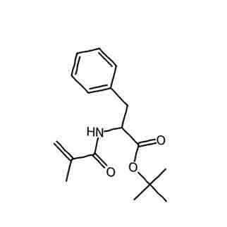 C=C(C)C(=O)NC(Cc1ccccc1)C(=O)OC(C)(C)C